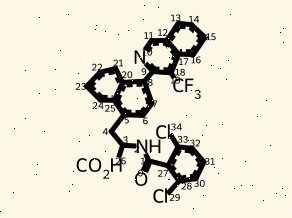 O=C(NC(Cc1ccc(-c2ncc3ccccc3c2C(F)(F)F)c2ccccc12)C(=O)O)c1c(Cl)cccc1Cl